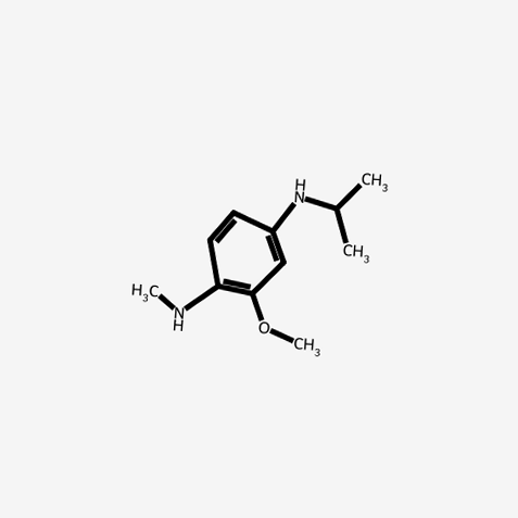 CNc1ccc(NC(C)C)cc1OC